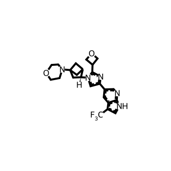 FC(F)(F)c1c[nH]c2ncc(-c3cn([C@H]4CC5(N6CCOCC6)CC4C5)c(C4COC4)n3)cc12